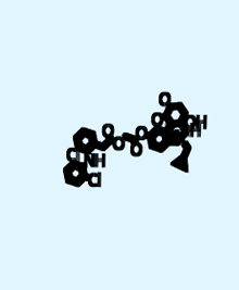 O=C(Cc1ccccc1Nc1c(Cl)cccc1Cl)OCC(=O)Oc1ccc2c3c1OC1C(=O)CC[C@@]4(O)[C@@H](C2)N(CC2CC2)CC[C@]314